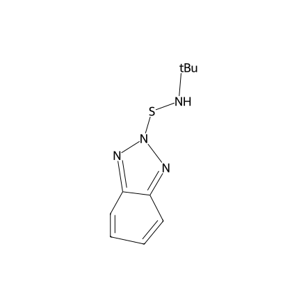 CC(C)(C)NSn1nc2ccccc2n1